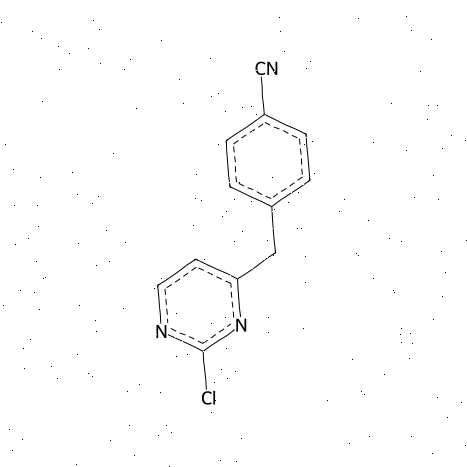 N#Cc1ccc(Cc2ccnc(Cl)n2)cc1